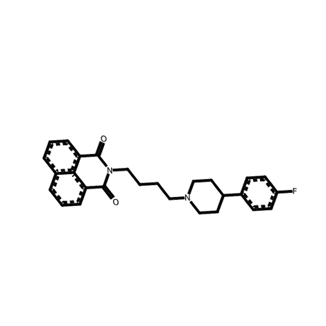 O=C1c2cccc3cccc(c23)C(=O)N1CCCCN1CCC(c2ccc(F)cc2)CC1